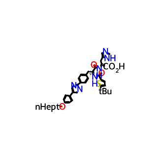 CCCCCCCOc1ccc(-c2cnc(-c3ccc(C[C@H](NC(=O)c4ccc(C(C)(C)C)s4)C(=O)N[C@H](Cc4cnc[nH]4)C(=O)O)cc3)nc2)cc1